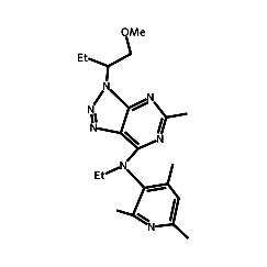 CCC(COC)n1nnc2c(N(CC)c3c(C)cc(C)nc3C)nc(C)nc21